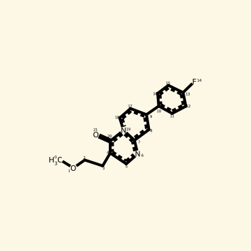 COCCc1cnc2cc(-c3ccc(F)cc3)ccn2c1=O